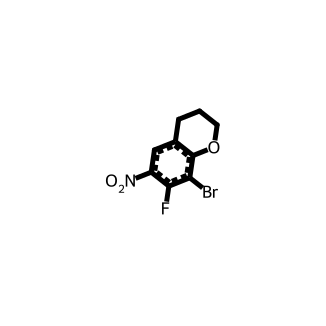 O=[N+]([O-])c1cc2c(c(Br)c1F)OCCC2